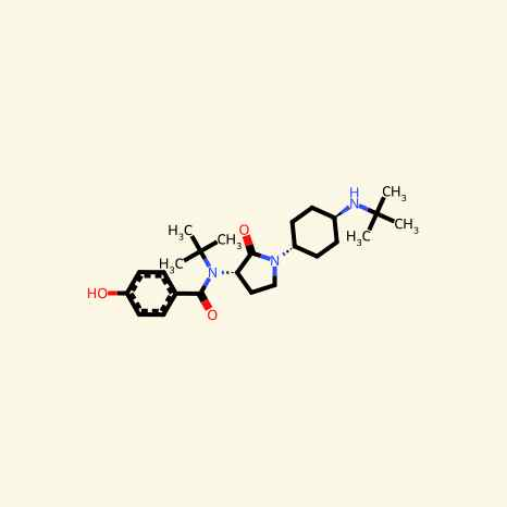 CC(C)(C)N[C@H]1CC[C@H](N2CC[C@H](N(C(=O)c3ccc(O)cc3)C(C)(C)C)C2=O)CC1